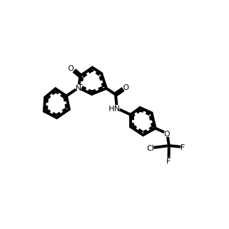 O=C(Nc1ccc(OC(F)(F)Cl)cc1)c1ccc(=O)n(-c2ccccc2)c1